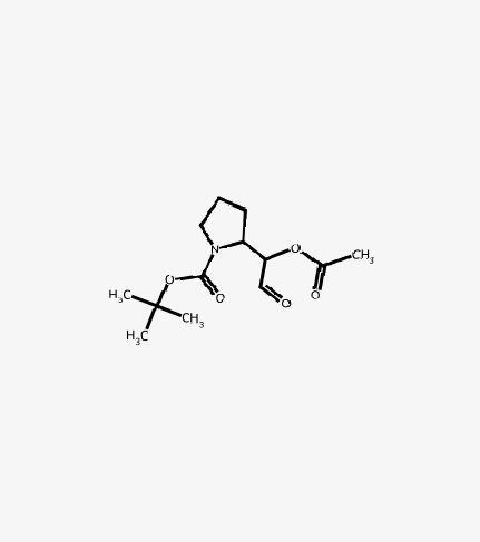 CC(=O)OC(C=O)C1CCCN1C(=O)OC(C)(C)C